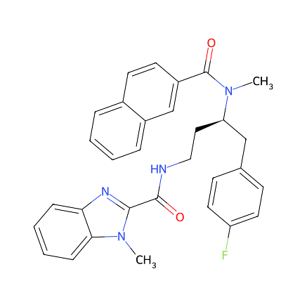 CN(C(=O)c1ccc2ccccc2c1)[C@H](CCNC(=O)c1nc2ccccc2n1C)Cc1ccc(F)cc1